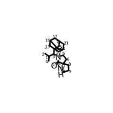 CC(C)C(N1CCC2(CCCN2)C1=O)C12CC3CC(CC(C3)C1)C2